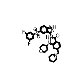 O=C(Nc1n[nH]c2ccc(S(=O)(=O)c3cc(F)cc(F)c3)cc12)C1=C(NC2CCOCC2)CC(CN2CCCCC2)C=C1